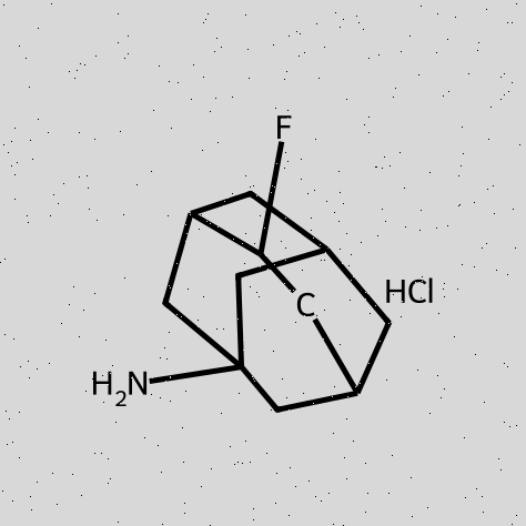 Cl.NC12CC3CC(CC(C1)C(F)C3)C2